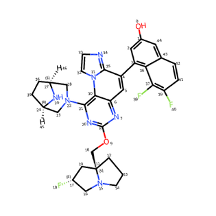 Oc1cc(-c2cc3nc(OC[C@@]45CCCN4C[C@H](F)C5)nc(N4C[C@H]5CC[C@@H](C4)N5)c3n3ccnc23)c2c(F)c(F)ccc2c1